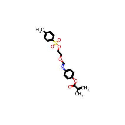 C=C(C)C(=O)Oc1ccc(/N=C/OCCOS(=O)(=O)c2ccc(C)cc2)cc1